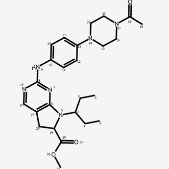 CCC(CC)N1c2nc(Nc3ccc(N4CCN(C(C)=O)CC4)cc3)ncc2CC1C(=O)OC